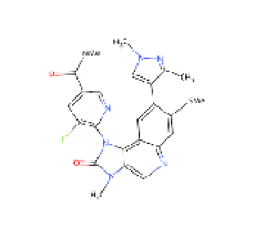 CNC(=O)c1cnc(-n2c(=O)n(C)c3cnc4cc(SC)c(-c5cn(C)nc5C)cc4c32)c(F)c1